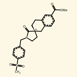 COC(=O)c1ccc2c(c1)CC[C@]1(CCN(Cc3ccc(S(C)(=O)=O)cc3)C1=O)C2